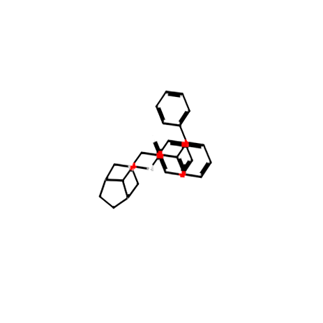 O=C(NCC1C2CCC1CN(Cc1ccccc1)C2)c1ccccc1-c1ccccc1